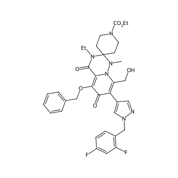 CCOC(=O)N1CCC2(CC1)N(CC)C(=O)c1c(OCc3ccccc3)c(=O)c(-c3cnn(Cc4ccc(F)cc4F)c3)c(CO)n1N2C